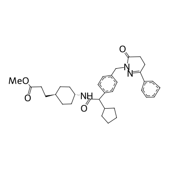 COC(=O)CC[C@H]1CC[C@H](NC(=O)C(c2ccc(CN3N=C(c4ccccc4)CCC3=O)cc2)C2CCCC2)CC1